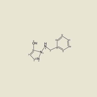 Oc1ccnn1NCc1ccccc1